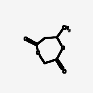 CC1CC(=O)OCC(=O)O1